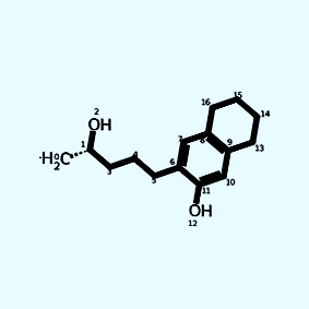 [CH2][C@H](O)CCCc1cc2c(cc1O)CCCC2